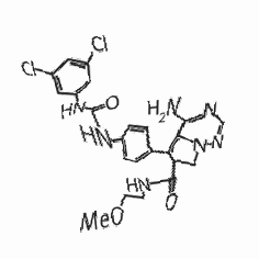 COCCNC(=O)C1CN2N=CN=C(N)C2=C1c1ccc(NC(=O)Nc2cc(Cl)cc(Cl)c2)cc1